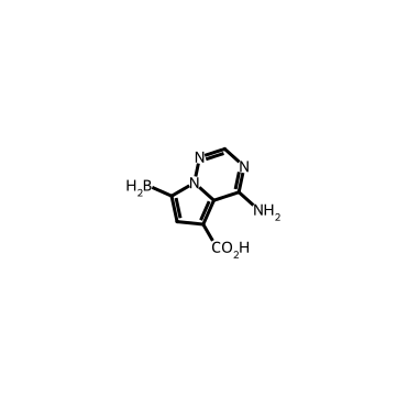 Bc1cc(C(=O)O)c2c(N)ncnn12